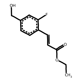 CCOC(=O)C=Cc1ccc(CO)cc1F